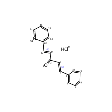 Cl.O=C(/C=C/c1ccccc1)/C=C/c1ccccn1